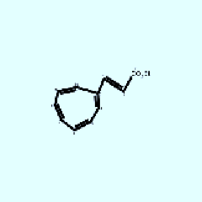 CCOC(=O)C=CC1=CC=CC=CC=C1